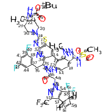 Cn1nc(NS(C)(=O)=O)c2cccc(-c3cc4sc(N5CCC(C)(NC(=O)OC(C)(C)C)CC5)nc4nc3C(Cc3cc(F)cc(F)c3)NC(=O)Cn3nc(C(F)(F)F)c4c3C(F)(F)[C@@H]3C=C[C@H]43)c21